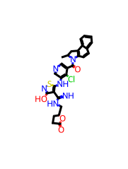 CC1Cc2c(ccc3ccccc23)N1C(=O)c1cncc(Nc2snc(O)c2C(=N)NCC2CCC(=O)O2)c1Cl